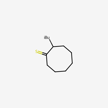 [CH2]CC(C)C1CCCCCCC1=S